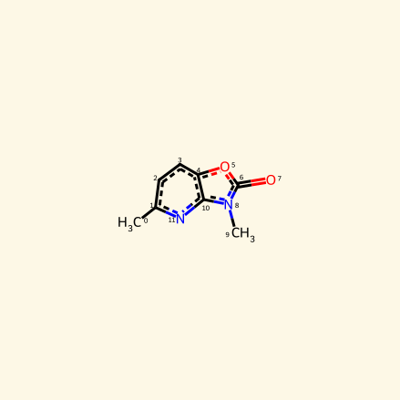 Cc1ccc2oc(=O)n(C)c2n1